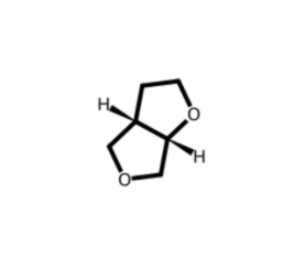 C1C[C@H]2COC[C@H]2O1